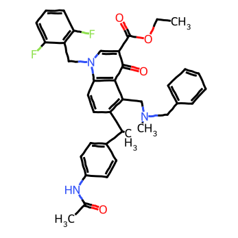 CCOC(=O)c1cn(Cc2c(F)cccc2F)c2ccc(C(C)c3ccc(NC(C)=O)cc3)c(CN(C)Cc3ccccc3)c2c1=O